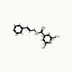 O=C(OC/C=C/c1ccccc1)c1cc(F)nc(F)c1